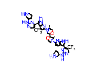 C[C@@H]1COC(C2OCCN(c3ccc4c(-c5nc(N[C@H]6CCCNC6)ncc5C(F)(F)F)c[nH]c4n3)[C@H]2C)CN1c1ccc2c(-c3nc(N[C@H]4CCCNC4)ncc3C(F)(F)F)c[nH]c2n1